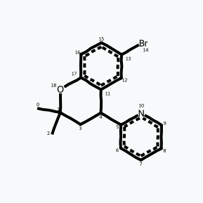 CC1(C)CC(c2ccccn2)c2cc(Br)ccc2O1